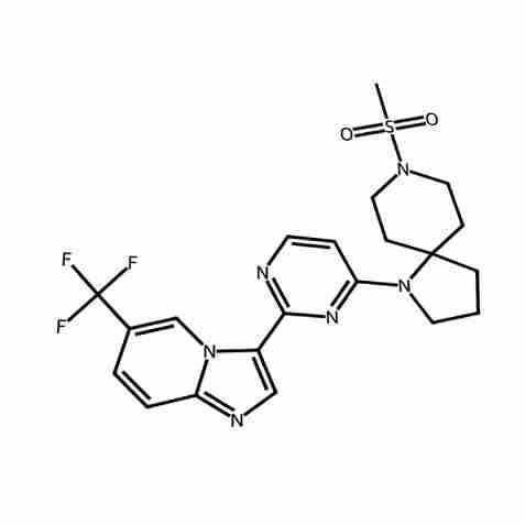 CS(=O)(=O)N1CCC2(CCCN2c2ccnc(-c3cnc4ccc(C(F)(F)F)cn34)n2)CC1